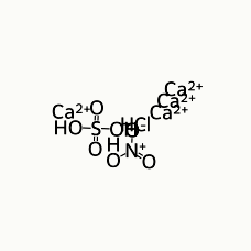 Cl.O=S(=O)(O)O.O=[N+]([O-])O.[Ca+2].[Ca+2].[Ca+2].[Ca+2]